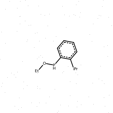 CCOPc1ccccc1C(C)C